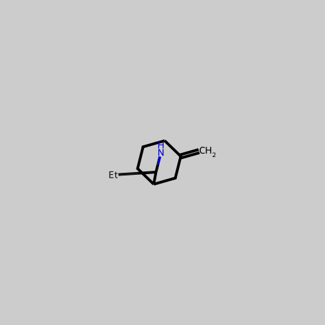 C=C1CC2CCC1NC2CC